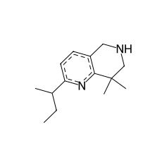 CCC(C)c1ccc2c(n1)C(C)(C)CNC2